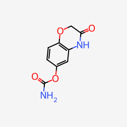 NC(=O)Oc1ccc2c(c1)NC(=O)CO2